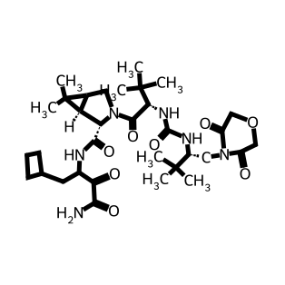 CC(C)(C)[C@H](NC(=O)N[C@H](CN1C(=O)COCC1=O)C(C)(C)C)C(=O)N1CC2[C@@H]([C@H]1C(=O)NC(CC1CCC1)C(=O)C(N)=O)C2(C)C